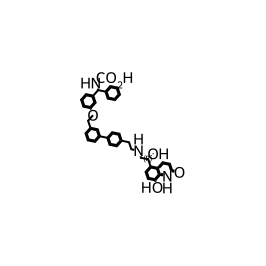 O=C(O)NC(c1ccccc1)c1cccc(OCc2cccc(-c3ccc(CCNC[C@H](O)c4ccc(O)c5[nH]c(=O)ccc45)cc3)c2)c1